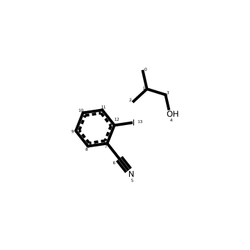 CC(C)CO.N#Cc1ccccc1I